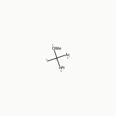 CCCC(C)(OC)C(C)=O